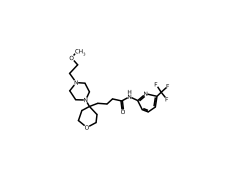 COCCN1CCN(C2(CCCC(=O)Nc3cccc(C(F)(F)F)n3)CCOCC2)CC1